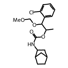 COCOC(c1ccccc1Cl)C(C)OC(=O)NC1CC2CCC1C2